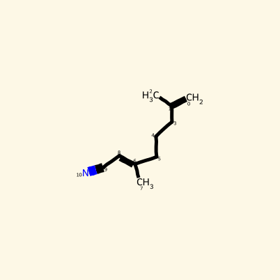 C=C(C)CCCC(C)=CC#N